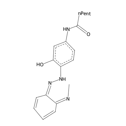 CCCCCC(=O)Nc1ccc(N/N=C2/C=CC=C/C2=N/C)c(O)c1